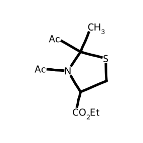 CCOC(=O)C1CSC(C)(C(C)=O)N1C(C)=O